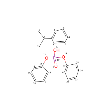 CC(C)c1ccccc1.O=P(O)(Oc1ccccc1)Oc1ccccc1